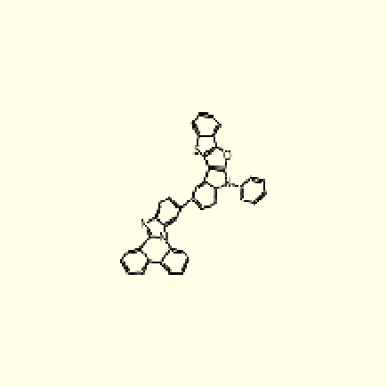 c1ccc(-n2c3ccc(-c4ccc5nc6c7ccccc7c7ccccc7n6c5c4)cc3c3c4sc5ccccc5c4oc32)cc1